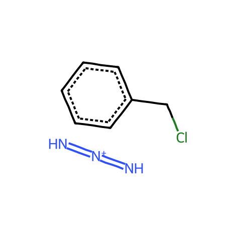 ClCc1ccccc1.N=[N+]=N